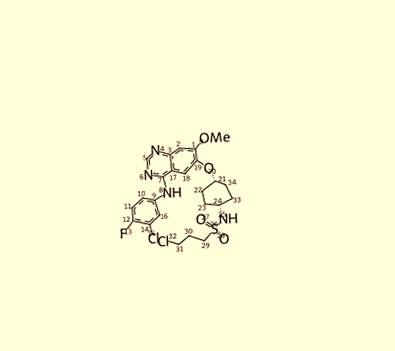 COc1cc2ncnc(Nc3ccc(F)c(Cl)c3)c2cc1O[C@H]1CC[C@@H](NS(=O)(=O)CCCCl)CC1